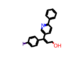 OCC=C(c1ccc(I)cc1)c1ccc(-c2ccccc2)nc1